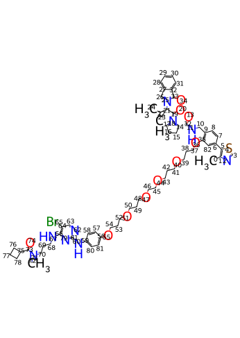 Cc1ncsc1-c1ccc(CNC(=O)[C@@H]2CCCN2C(=O)C(C(C)C)N2Cc3ccccc3C2=O)c(OCCCOCCCOCCOCCCOCCCOc2ccc(Nc3ncc(Br)c(NCCCN(C)C(=O)C4CCC4)n3)cc2)c1